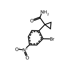 NC(=O)C1(c2ccc([N+](=O)[O-])cc2Br)CC1